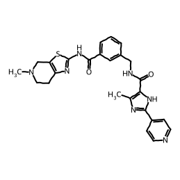 Cc1nc(-c2ccncc2)[nH]c1C(=O)NCc1cccc(C(=O)Nc2nc3c(s2)CN(C)CC3)c1